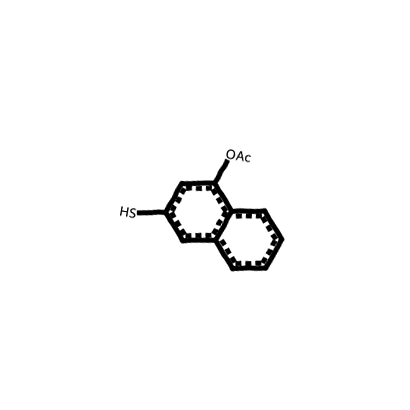 CC(=O)Oc1cc(S)cc2ccccc12